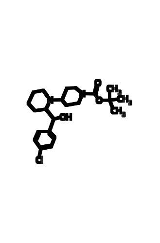 CC(C)(C)OC(=O)N1CCC(N2CCCCC2C(O)c2ccc(Cl)cc2)CC1